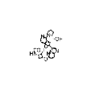 O=C(O)N[C@H]1C[C@H](Oc2ccc3ncc(-c4cc5c(N6CCC[C@@H]6CO)nccc5o4)n3n2)C1